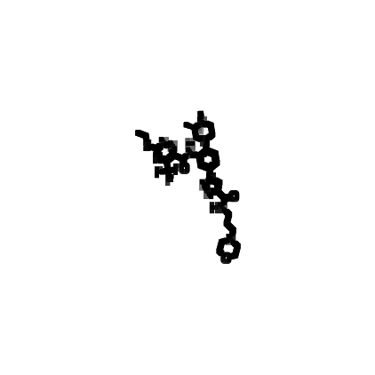 CCSc1nnc(C(=O)Nc2cc(-n3cc(C(=O)NCCCN4CCOCC4)nn3)ccc2N2CCN(C)[C@H](C)C2)c(C(F)(F)F)n1